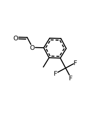 Cc1c(OC=O)cccc1C(F)(F)F